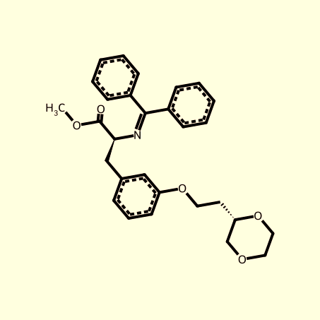 COC(=O)[C@H](Cc1cccc(OCC[C@H]2COCCO2)c1)N=C(c1ccccc1)c1ccccc1